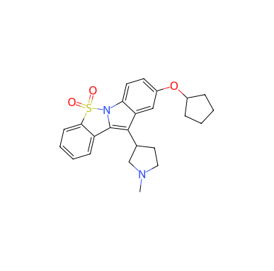 CN1CCC(c2c3n(c4ccc(OC5CCCC5)cc24)S(=O)(=O)c2ccccc2-3)C1